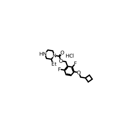 CCC1CNCCN1C(=O)OCc1c(F)ccc(OCC2CCC2)c1F.Cl